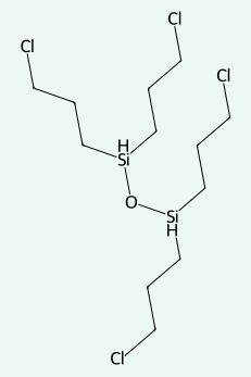 ClCCC[SiH](CCCCl)O[SiH](CCCCl)CCCCl